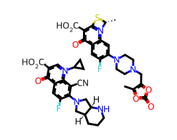 Cc1oc(=O)oc1CN1CCN(c2cc3c(cc2F)c(=O)c(C(=O)O)c2n3[C@@H](C)S2)CC1.N#Cc1c(N2C[C@@H]3CCCN[C@@H]3C2)c(F)cc2c(=O)c(C(=O)O)cn(C3CC3)c12